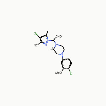 COc1cc(N2CCN(C(C=O)n3nc(C#N)c(Cl)c3C)[C@@H](C)C2)ccc1Cl